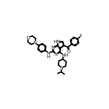 CC(C)N1CCC(Nc2nc(Nc3ccc(N4CCOCC4)cc3)nc3[nH]cc(C(=O)c4ccc(F)cc4)c23)CC1